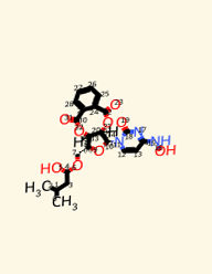 CC(C)CC(O)OC[C@H]1O[C@@H](n2ccc(NO)nc2=O)[C@@H]2OC(=O)c3ccccc3C(=O)O[C@@H]21